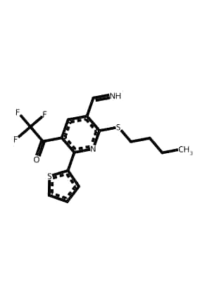 CCCCSc1nc(-c2cccs2)c(C(=O)C(F)(F)F)cc1C=N